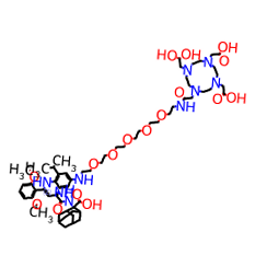 COc1cccc(OC)c1/C(=C/C(=N)C(=O)NC1(C(=O)O)C2CC3CC(C2)CC1C3)Nc1ccc(NCCOCCOCCOCCOCCOCCNC(=O)CN2CCN(CC(=O)O)CCN(CC(=O)O)CCN(CC(O)O)CC2)cc1C(C)C